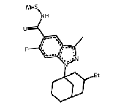 CCC1CC2CCCC(n3nc(C)c4cc(C(=O)NSC)c(F)cc43)(C1)C2